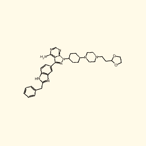 Nc1ncnc2c1c(-c1ccc3[nH]c(Cc4ccccc4)nc3c1)nn2C1CCC(N2CCN(CCC3OCCO3)CC2)CC1